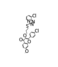 COc1ccc2c(=O)c(OCCCSc3nnc4c(Cl)cccn34)c(-c3ccc(Cl)cc3)oc2c1